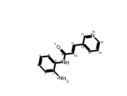 Nc1ccccc1NC(=O)/C=C/c1cccnc1